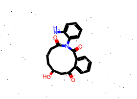 Nc1ccccc1N1C(=O)CCCC(O)CC(=O)c2ccccc2C1=O